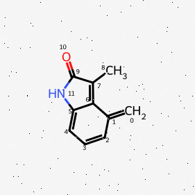 C=c1cccc2c1=C(C)C(=O)N2